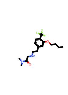 CCCCOc1cc(CCNCC(=O)N(C)C)ccc1C(F)(F)F